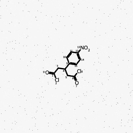 O=C(Cl)CC(CC(=O)Cl)c1ccc([N+](=O)[O-])cc1